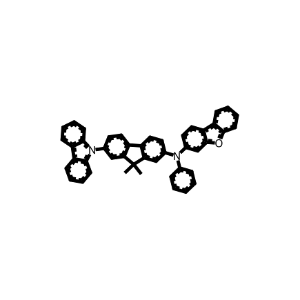 CC1(C)c2cc(N(c3ccccc3)c3ccc4c(c3)oc3ccccc34)ccc2-c2ccc(-n3c4ccccc4c4ccccc43)cc21